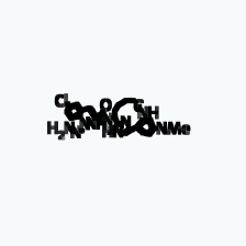 CNc1ccc2c(c1)NCCCCCC(NC(=O)/C=C/c1cc(Cl)ccc1N(N)/C=N\N)c1nc-2c[nH]1